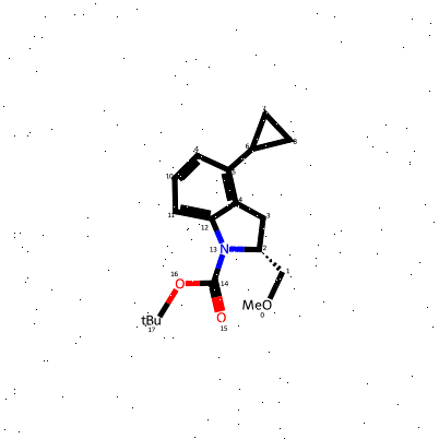 COC[C@H]1Cc2c(C3CC3)cccc2N1C(=O)OC(C)(C)C